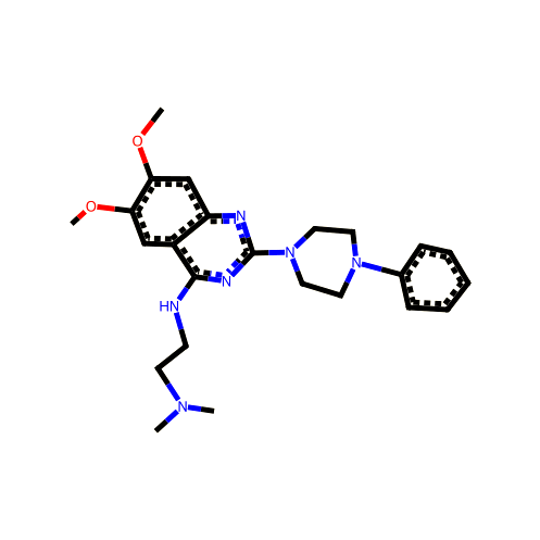 COc1cc2nc(N3CCN(c4ccccc4)CC3)nc(NCCN(C)C)c2cc1OC